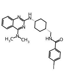 CN(C)c1nc(N[C@H]2CC[C@@H](CNC(=O)c3ccc(I)cc3)CC2)nc2ccccc12